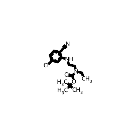 CCN(CCNc1cc(Cl)ccc1C#N)C(=O)OC(C)(C)C